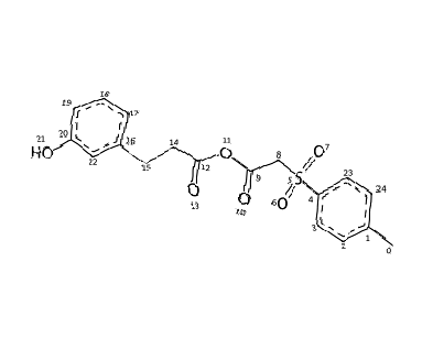 Cc1ccc(S(=O)(=O)CC(=O)OC(=O)CCc2cccc(O)c2)cc1